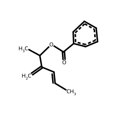 C=C(/C=C/C)C(C)OC(=O)c1ccccc1